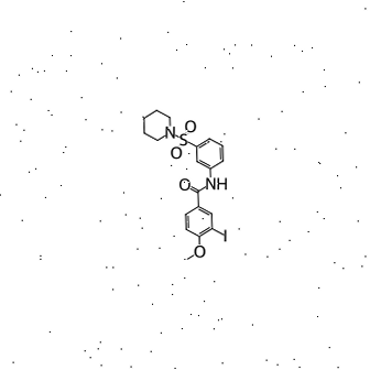 COc1ccc(C(=O)Nc2cccc(S(=O)(=O)N3CCCCC3)c2)cc1I